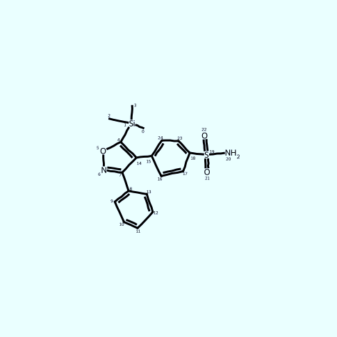 C[Si](C)(C)c1onc(-c2ccccc2)c1-c1ccc(S(N)(=O)=O)cc1